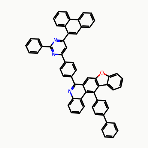 c1ccc(-c2ccc(-c3c4c(cc5c(-c6ccc(-c7cc(-c8cc9ccccc9c9ccccc89)nc(-c8ccccc8)n7)cc6)nc6ccccc6c35)oc3ccccc34)cc2)cc1